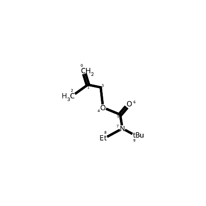 C=C(C)COC(=O)N(CC)C(C)(C)C